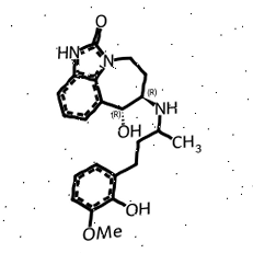 COc1cccc(CCC(C)N[C@@H]2CCn3c(=O)[nH]c4cccc(c43)[C@H]2O)c1O